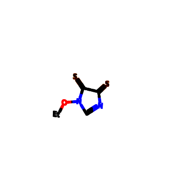 CCON1C=NC(=S)C1=S